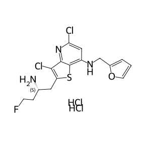 Cl.Cl.N[C@@H](CCF)Cc1sc2c(NCc3ccco3)cc(Cl)nc2c1Cl